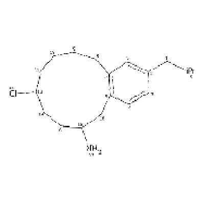 CC(C)Cc1ccc2c(c1)CCCCC(Cl)CCC(N)C2